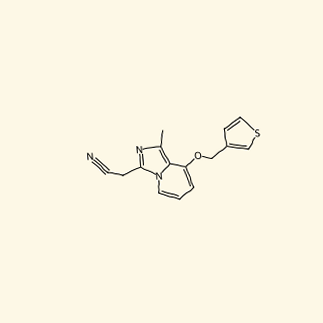 Cc1nc(CC#N)n2cccc(OCc3ccsc3)c12